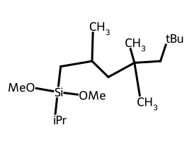 CO[Si](CC(C)CC(C)(C)CC(C)(C)C)(OC)C(C)C